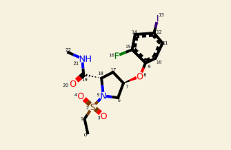 CCS(=O)(=O)N1C[C@H](Oc2ccc(I)cc2F)C[C@H]1C(=O)NC